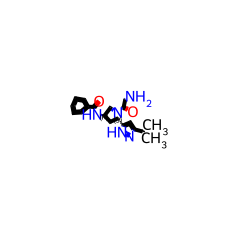 CC(C)c1cc([C@@H]2C[C@@H](NC(=O)c3ccccc3)CN2C(=O)CN)[nH]n1